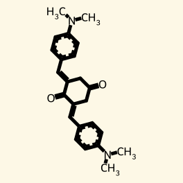 CN(C)c1ccc(C=C2CC(=O)CC(=Cc3ccc(N(C)C)cc3)C2=O)cc1